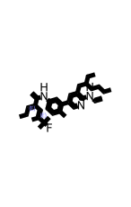 C=CNc1ncc(-c2cc(NC(=C)C(=C/CC)/C=C(\C)C(C)(C)F)ccc2C)cc1CC(CC)CCCC